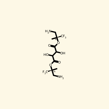 C[C@](CN)(OC(=O)C(O)C(O)C(=O)O[C@](C)(CN)C(F)(F)F)C(F)(F)F